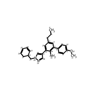 CCCc1cc(-c2ccc(OC)cc2)c(N)c(-c2cnn(CC3C=CC=CC3)c2)c1